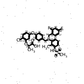 Cc1c(NS(C)(=O)=O)cccc1N(Cc1ccc(Oc2ccc(Cl)c(O[C@H](C)C(=O)O)c2)cc1)Cc1ccc(F)cc1F